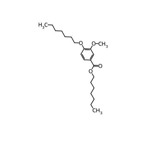 CCCCCCCOC(=O)c1ccc(OCCCCCCC)c(OC)c1